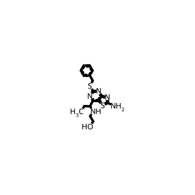 CCC(NCCO)c1nc(SCc2ccccc2)nc2nc(N)sc12